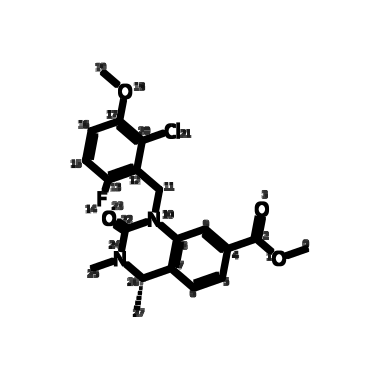 COC(=O)c1ccc2c(c1)N(Cc1c(F)ccc(OC)c1Cl)C(=O)N(C)[C@H]2C